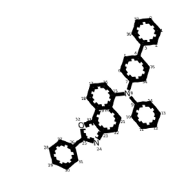 c1ccc(-c2ccc(N(c3ccccc3)c3cccc4c3ccc3nc(-c5ccccc5)oc34)cc2)cc1